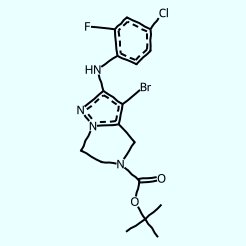 CC(C)(C)OC(=O)N1CCn2nc(Nc3ccc(Cl)cc3F)c(Br)c2C1